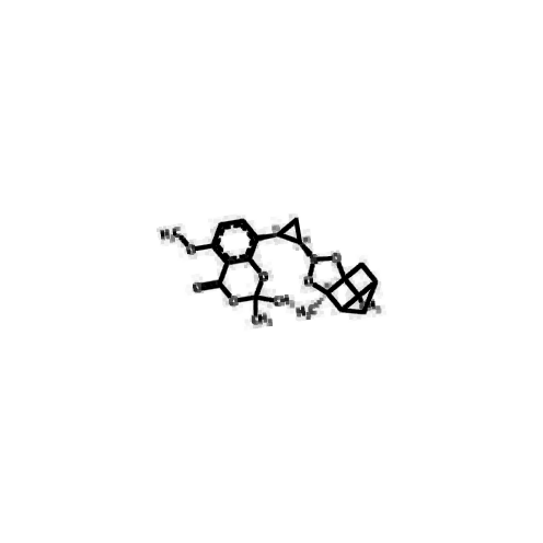 COc1ccc([C@H]2C[C@H]2B2OC34CC5CC(C53C)[C@@]4(C)O2)c2c1C(=O)OC(C)(C)O2